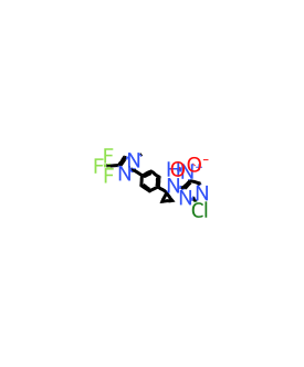 Cn1cc(C(F)(F)F)nc1-c1ccc(C2(Nc3nc(Cl)ncc3[N+](=O)[O-])CC2)cc1